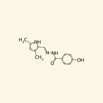 Cc1cc(C)c(C=NNC(=O)c2ccc(O)cc2)[nH]1